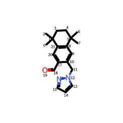 CC1(C)CCC(C)(C)c2cc(Cn3cccn3)c(C=O)cc21